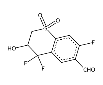 O=Cc1cc2c(cc1F)S(=O)(=O)CC(O)C2(F)F